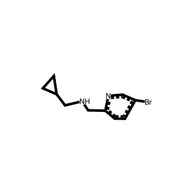 Brc1ccc(CNCC2CC2)nc1